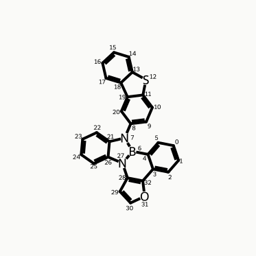 c1ccc2c(c1)B1N(c3ccc4sc5ccccc5c4c3)c3ccccc3N1c1ccoc1-2